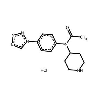 CC(=O)N(c1ccc(-n2cnnn2)cc1)C1CCNCC1.Cl